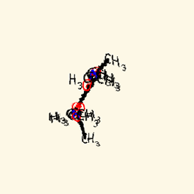 CCCCCCCCON1C(C)(C)CC(CC(=O)CCCCCCCCC(=O)OC2CC(C)(C)N(OCCCCCCCC)C(C)(C)C2)CC1(C)C